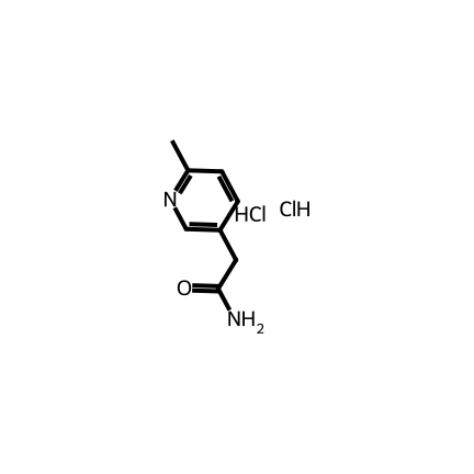 Cc1ccc(CC(N)=O)cn1.Cl.Cl